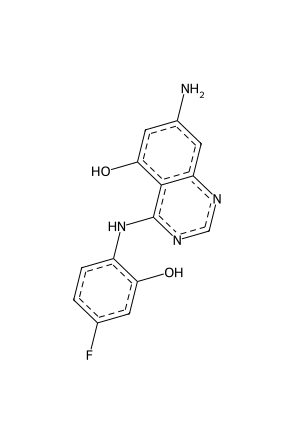 Nc1cc(O)c2c(Nc3ccc(F)cc3O)ncnc2c1